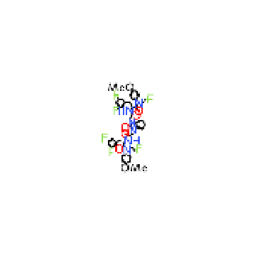 COc1ccc(N(CCF)C(=O)C(Cc2cc(F)cc(F)c2)NC(=O)Cn2c(=O)n(CC(=O)N[C@@H](Cc3cc(F)cc(F)c3)C(=O)N(CCF)c3ccc(OC)cc3)c3ccccc32)cc1